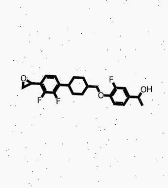 CC(O)c1ccc(OCC2CCC(c3ccc(C4CO4)c(F)c3F)CC2)c(F)c1